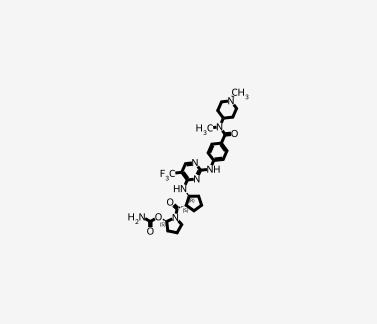 CN1CCC(N(C)C(=O)c2ccc(Nc3ncc(C(F)(F)F)c(N[C@@H]4CCC[C@@H]4C(=O)N4CCC[C@@H]4OC(N)=O)n3)cc2)CC1